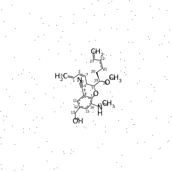 C=C/C=C\CC(Oc1c(C#N)cc(CO)cc1NC)[C@@H](C/C=C\C=C)OC